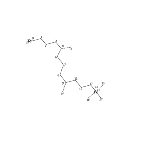 CC(C)CCCC(C)CCCC(C)CCC[N+](C)(C)C